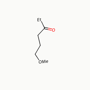 CCC(=O)CCCOC